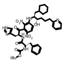 CC(C)(C)OC(=O)N[C@@H](Cc1ccccc1)C(=O)N[C@@H](Cc1c[nH]cn1)C(=O)c1c([N+](=O)[O-])ccc(N[C@@H](CC2CCCCC2)[C@@H](O)CCCc2ccccn2)c1[N+](=O)[O-]